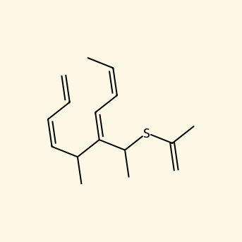 C=C/C=C\C(C)/C(=C/C=C\C)C(C)SC(=C)C